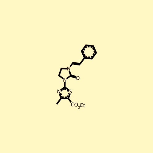 CCOC(=O)c1sc(N2CCN(C=Cc3ccccc3)C2=O)nc1C